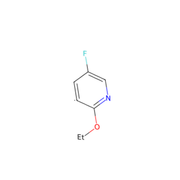 CCOc1[c]cc(F)cn1